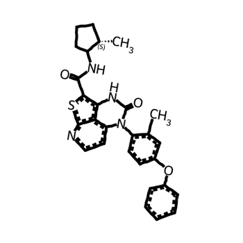 Cc1cc(Oc2ccccc2)ccc1N1C(=O)Nc2c(C(=O)NC3CCC[C@@H]3C)sc3nccc1c23